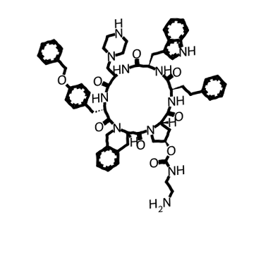 NCCNC(=O)O[C@@H]1C[C@H]2C(=O)N[C@H](CCc3ccccc3)C(=O)N[C@H](Cc3c[nH]c4ccccc34)C(=O)NC(CN3CCNCC3)C(=O)N[C@@H](Cc3ccc(OCc4ccccc4)cc3)C(=O)N3Cc4ccccc4C[C@H]3C(=O)N2C1